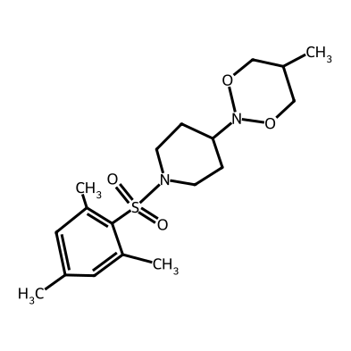 Cc1cc(C)c(S(=O)(=O)N2CCC(N3OCC(C)CO3)CC2)c(C)c1